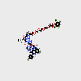 CC(C)[C@H](NC(=O)CCOCCOCCOCCOCCC(=O)Oc1c(F)c(F)cc(F)c1F)C(=O)N[C@@H](C)C(=O)NCCOCn1nc2c3c(cc(F)cc3c1=O)N[C@H](c1ccc(F)cc1)C2CN(C)/N=C\N